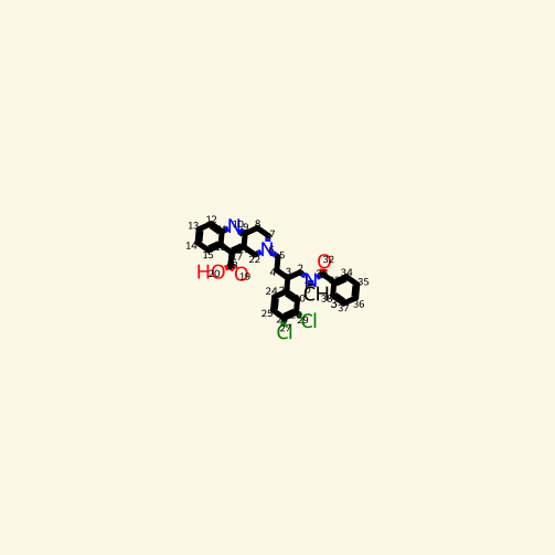 CN(CC(CCN1CCc2nc3ccccc3c(C(=O)O)c2C1)c1ccc(Cl)c(Cl)c1)C(=O)c1ccccc1